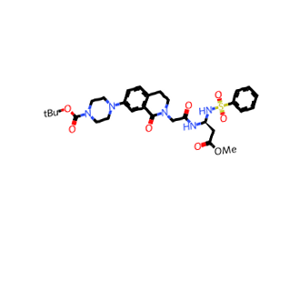 COC(=O)C[C@@H](NC(=O)CN1CCc2ccc(N3CCN(C(=O)OC(C)(C)C)CC3)cc2C1=O)NS(=O)(=O)c1ccccc1